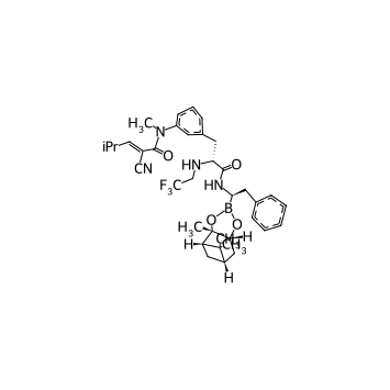 CC(C)/C=C(\C#N)C(=O)N(C)c1cccc(C[C@@H](NCC(F)(F)F)C(=O)N[C@@H](Cc2ccccc2)B2O[C@@H]3C[C@@H]4C[C@@H](C4(C)C)[C@]3(C)O2)c1